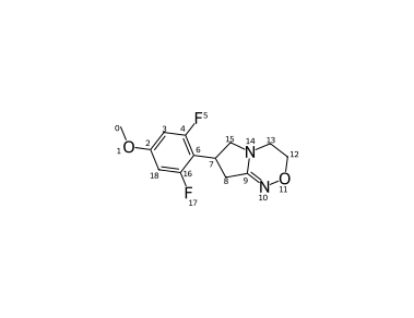 COc1cc(F)c(C2CC3=NOCCN3C2)c(F)c1